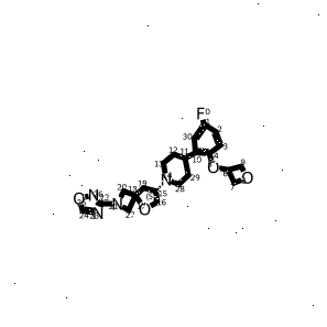 Fc1ccc(OC2COC2)c(C2CCN([C@@H]3COC4(C3)CN(c3ncon3)C4)CC2)c1